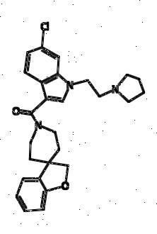 O=C(c1cn(CCN2CCCC2)c2cc(Cl)ccc12)N1CCC2(CC1)COc1ccccc12